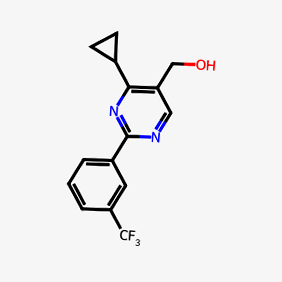 OCc1cnc(-c2cccc(C(F)(F)F)c2)nc1C1CC1